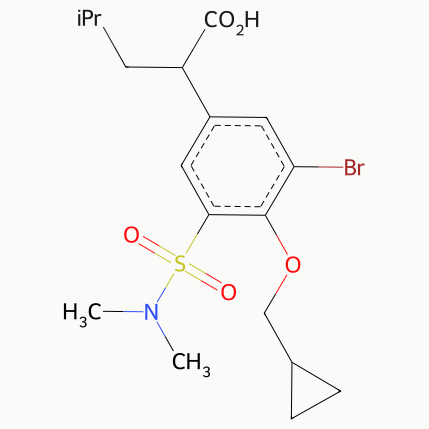 CC(C)CC(C(=O)O)c1cc(Br)c(OCC2CC2)c(S(=O)(=O)N(C)C)c1